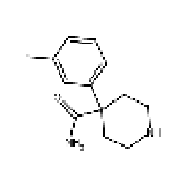 Cc1cccc(C2(C(N)=O)CCNCC2)c1